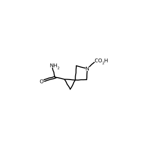 NC(=O)C1CC12CN(C(=O)O)C2